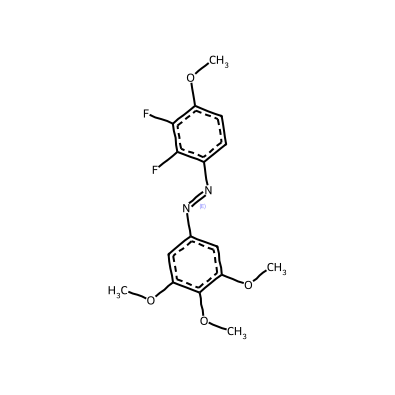 COc1ccc(/N=N/c2cc(OC)c(OC)c(OC)c2)c(F)c1F